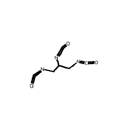 O=C=NCC(CN=C=O)N=C=O